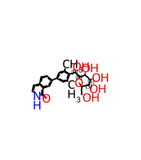 Cc1cc(-c2ccc3cc[nH]c(=O)c3c2)cc(C)c1[C@@H](O)[C@H]1OC(CO)[C@@H](O)[C@H](O)C1O